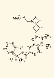 COCCN1CCC12CC(C(=O)N(C)[C@@H](c1ccc(NC3Cc4ccccc4C3(C)C)cn1)C(F)(F)F)C2